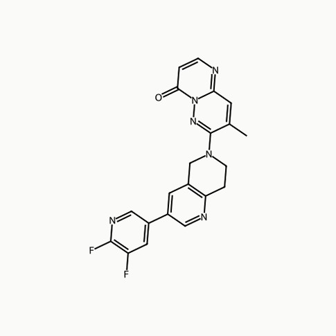 Cc1cc2nccc(=O)n2nc1N1CCc2ncc(-c3cnc(F)c(F)c3)cc2C1